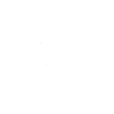 O=C(C=CC1(c2cccs2)C=CC=C(c2ccc(OCCBr)cc2)C1)c1ccccc1